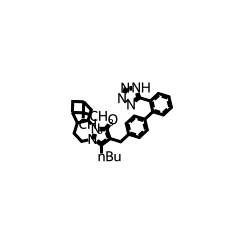 CCCCc1c(Cc2ccc(-c3ccccc3-c3nnn[nH]3)cc2)c(=O)n2n1CCC1C2CC2CC1C2(C)C